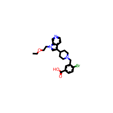 CCOCCn1cc(C2CCN(Cc3cc(C(=O)O)ccc3Br)CC2)c2ccncc21